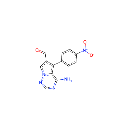 Nc1ncnn2cc(C=O)c(-c3ccc([N+](=O)[O-])cc3)c12